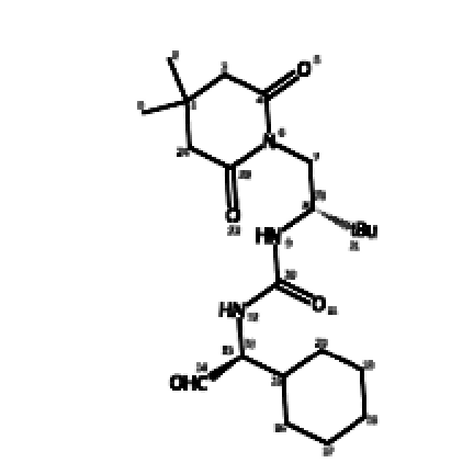 CC1(C)CC(=O)N(C[C@@H](NC(=O)N[C@H](C=O)C2CCCCC2)C(C)(C)C)C(=O)C1